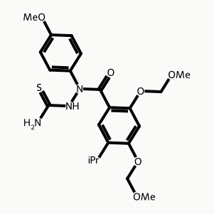 COCOc1cc(OCOC)c(C(C)C)cc1C(=O)N(NC(N)=S)c1ccc(OC)cc1